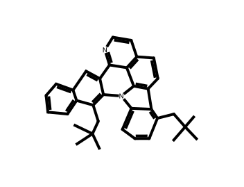 CC(C)(C)Cc1cccc2c1c1ccc3ccnc4c5cc6ccccc6c(CC(C)(C)C)c5n2c1c34